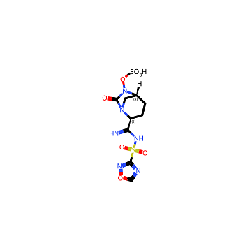 N=C(NS(=O)(=O)c1ncon1)[C@@H]1CC[C@@H]2CN1C(=O)N2OS(=O)(=O)O